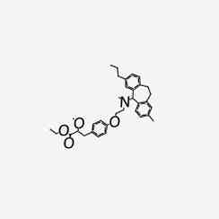 CCCc1ccc2c(c1)C(N(C)CCOc1ccc(CC(OC)C(=O)OCC)cc1)c1ccc(C)cc1CC2